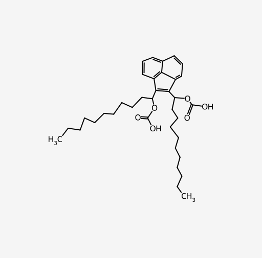 CCCCCCCCCCC(OC(=O)O)C1=C(C(CCCCCCCCCC)OC(=O)O)c2cccc3cccc1c23